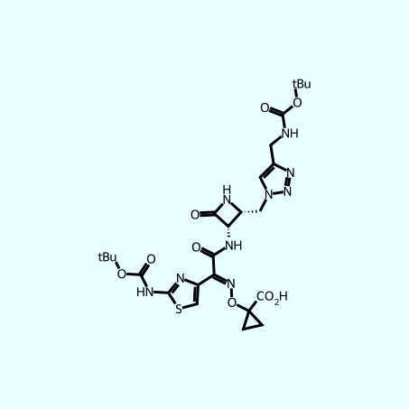 CC(C)(C)OC(=O)NCc1cn(C[C@H]2NC(=O)[C@H]2NC(=O)C(=NOC2(C(=O)O)CC2)c2csc(NC(=O)OC(C)(C)C)n2)nn1